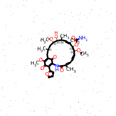 COC1=C2C[C@@H](C)C[C@H](OC)[C@H](O)[C@@H](C)C=C(C)[C@H](OC(N)=O)[C@@H](OC)C=CC=C(C)C(=O)NC(=C(c3ccco3)C1=O)C2=O